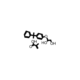 C=C(C)C(=O)O.CC(C)(c1ccccc1)c1ccc(OC(O)CO)cc1